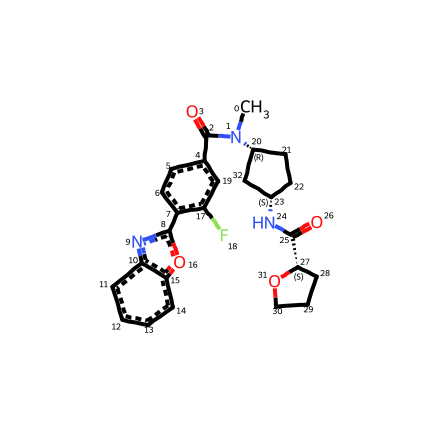 CN(C(=O)c1ccc(-c2nc3ccccc3o2)c(F)c1)[C@@H]1CC[C@H](NC(=O)[C@@H]2CCCO2)C1